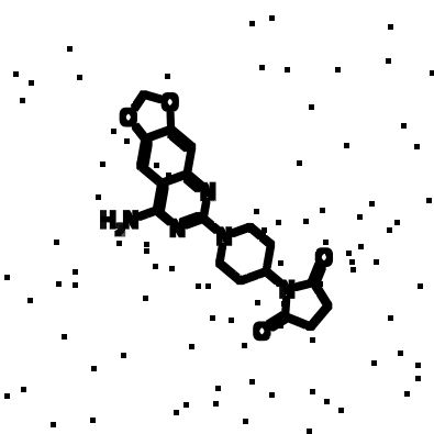 Nc1nc(N2CCC(N3C(=O)CCC3=O)CC2)nc2cc3c(cc12)OCO3